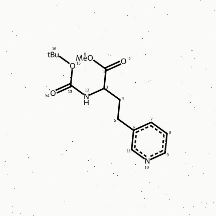 COC(=O)C(CCc1cccnc1)NC(=O)OC(C)(C)C